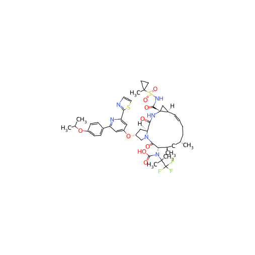 CC(C)Oc1ccc(-c2cc(O[C@@H]3C[C@H]4C(=O)N[C@]5(C(=O)NS(=O)(=O)C6(C)CC6)C[C@H]5C=CCC[C@H](C)C[C@@H](C)[C@H](N(C(=O)O)C(C)(C)C(F)(F)F)C(=O)N4C3)cc(-c3nccs3)n2)cc1